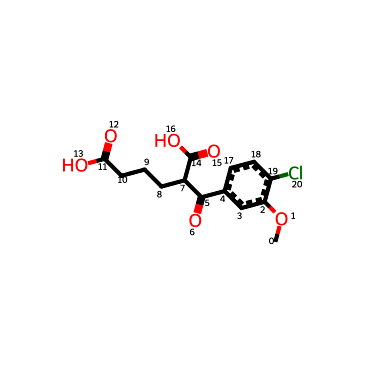 COc1cc(C(=O)C(CCCC(=O)O)C(=O)O)ccc1Cl